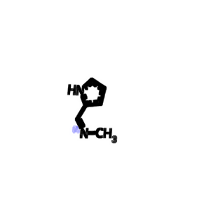 C/N=C\c1ccc[nH]1